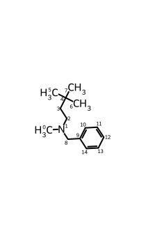 CN(CCC(C)(C)C)Cc1ccccc1